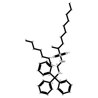 CCCCCCCCC(C)S(=O)(=O)N[C@@H](CCCCCCC)OC(c1ccccc1)(c1ccccc1)c1ccccc1